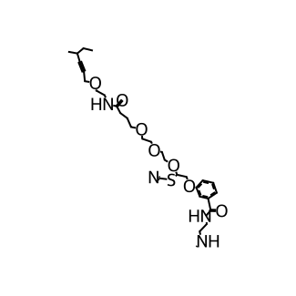 CCC(C)C#CCOCCNC(=O)CCCOCCOCCOC(COc1cccc(C(=O)NCCNC)c1)SC#N